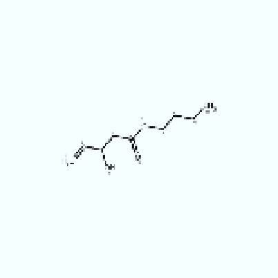 C=CC(O)CC(=O)OCCCC